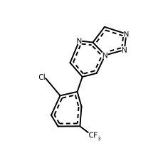 FC(F)(F)c1ccc(Cl)c(-c2cnc3cnnn3c2)c1